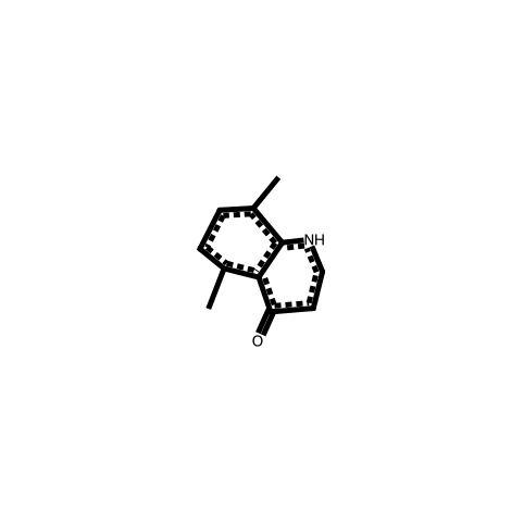 Cc1ccc(C)c2c(=O)cc[nH]c12